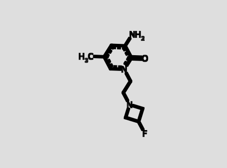 Cc1cc(N)c(=O)n(CCN2CC(F)C2)c1